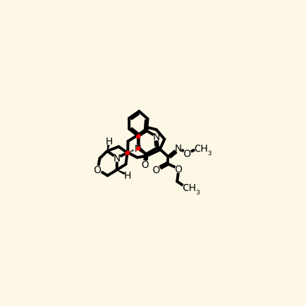 CCOC(=O)C(=NOC)c1nc2ccccc2n([C@H]2C[C@H]3COC[C@@H](C2)N3C2CC3CCCCC(C3)C2)c1=O